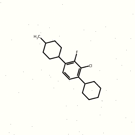 CC1CCC(c2ccc(C3CCCCC3)c(Cl)c2F)CC1